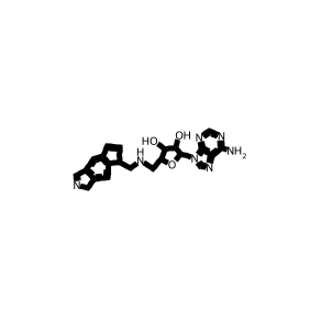 Nc1ncnc2c1ncn2C1OC(CNCC2C=Cc3cc4c(cc32)CN=C4)C(O)C1O